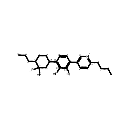 CCCCc1ccc(-c2ccc(C3CCC(CCC)C(F)(F)C3)c(F)c2F)cn1